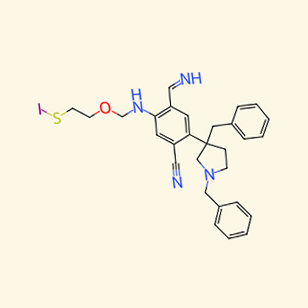 N#Cc1cc(NCOCCSI)c(C=N)cc1C1(Cc2ccccc2)CCN(Cc2ccccc2)C1